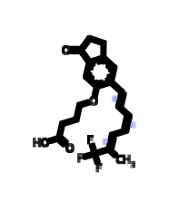 C\C(=C/C=C\C=C\c1cc2c(cc1OCCCC(=O)O)C(=O)CC2)C(F)(F)F